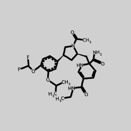 CCNC(=O)C1=CNC(C[C@H]2C[C@@H](c3ccc(OC(F)F)c(OC(C)C)c3)CN2C(C)=O)(C(N)=O)C=C1